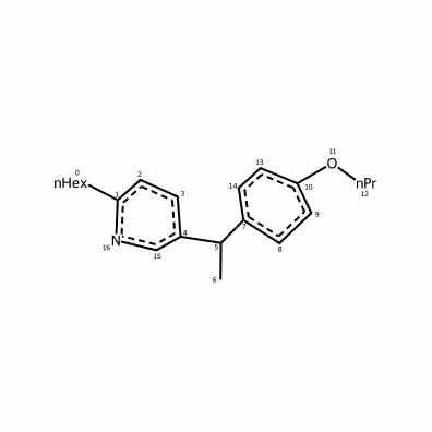 CCCCCCc1ccc(C(C)c2ccc(OCCC)cc2)cn1